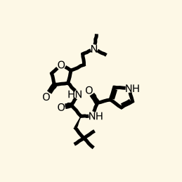 CN(C)CCC1OCC(=O)C1NC(=O)[C@H](CC(C)(C)C)NC(=O)c1cc[nH]c1